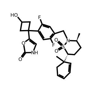 C[C@H]1CC[C@H](C2(C)C=CC=CC2)S(=O)(=O)N1Cc1cc(F)c(C2(c3c[nH]c(=O)o3)CC(O)C2)cc1F